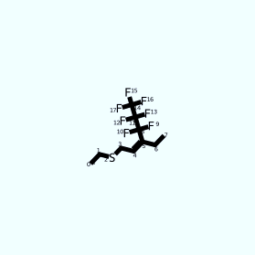 [CH2]CSCC=C(CC)C(F)(F)C(F)(F)C(F)(F)F